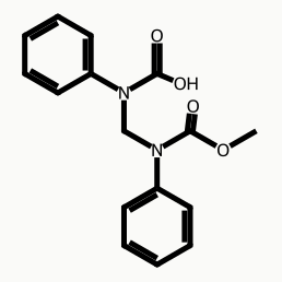 COC(=O)N(CN(C(=O)O)c1ccccc1)c1ccccc1